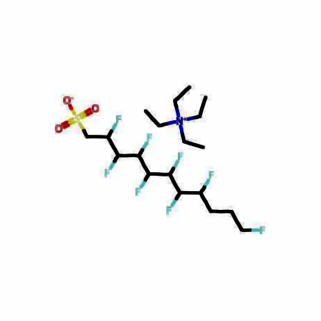 CC[N+](CC)(CC)CC.O=S(=O)([O-])CC(F)C(F)C(F)C(F)C(F)C(F)C(F)CCCF